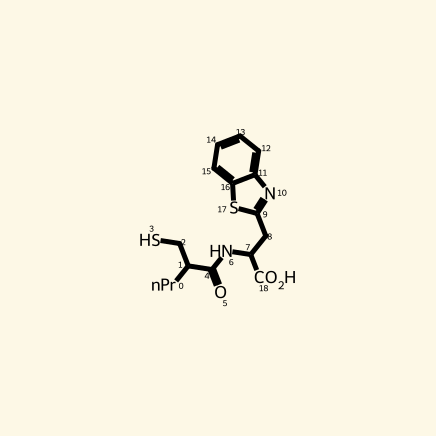 CCCC(CS)C(=O)NC(Cc1nc2ccccc2s1)C(=O)O